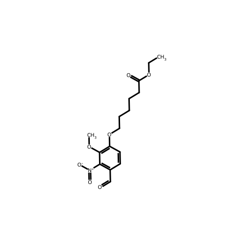 CCOC(=O)CCCCCOc1ccc(C=O)c([N+](=O)[O-])c1OC